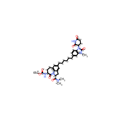 CN(C)C(=O)[C@@H]1Cc2cc(CCCCCCc3ccc4c(c3)n(C)c(=O)n4C3CCC(=O)NC3=O)cc3c2N1C(=O)[C@@H](NC(=O)OC(C)(C)C)CC3